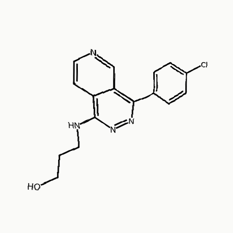 OCCCNc1nnc(-c2ccc(Cl)cc2)c2cnccc12